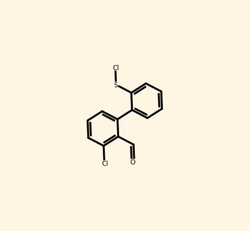 O=Cc1c(Cl)cccc1-c1ccccc1SCl